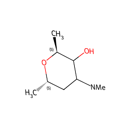 CNC1C[C@H](C)O[C@@H](C)C1O